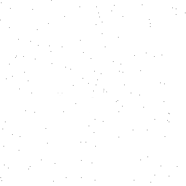 CCCN(C(=O)COC)C(C)C